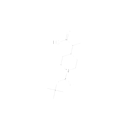 CC(C(=O)S)C1CCN(C(=O)OC(C)(C)C)CC1